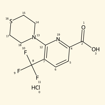 Cl.O=C(O)c1ccc(C(F)(F)F)c(N2CCSCC2)n1